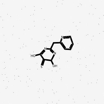 OC1=NC(Cc2ccccn2)=NC(O)C1=S